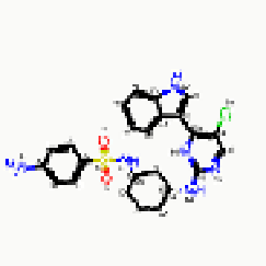 Nc1ccc(S(=O)(=O)N[C@H]2CCC[C@@H](Nc3ncc(Cl)c(-c4c[nH]c5ccccc45)n3)C2)cc1